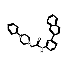 O=C(CN1CCN(c2ccccc2)CC1)Nc1cccc(-c2ccc3ccccc3c2)c1